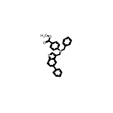 COC(=O)c1ccc(N(Cc2ccccc2)Cc2csc3ccc(-c4ccccc4)cc23)cc1